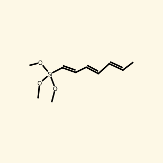 CC=CC=CC=C[Si](OC)(OC)OC